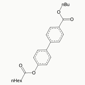 CCCCCCC(=O)Oc1ccc(-c2ccc(C(=O)OCCCC)cc2)cc1